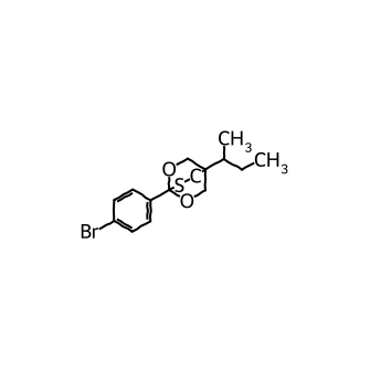 CCC(C)C12COC(c3ccc(Br)cc3)(OC1)SC2